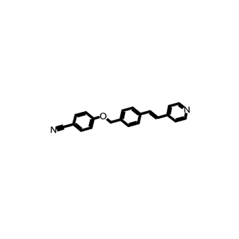 N#Cc1ccc(OCc2ccc(C=Cc3ccncc3)cc2)cc1